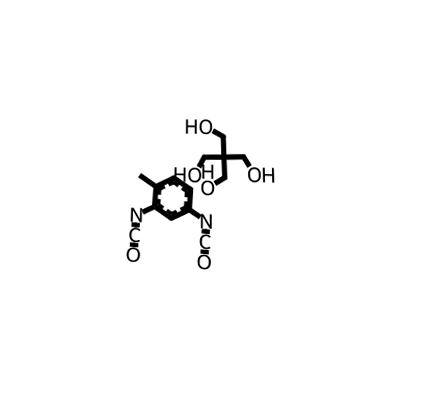 Cc1ccc(N=C=O)cc1N=C=O.OCC(CO)(CO)CO